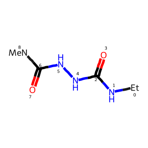 CCNC(=O)NNC(=O)NC